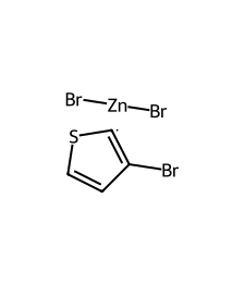 Brc1[c]scc1.[Br][Zn][Br]